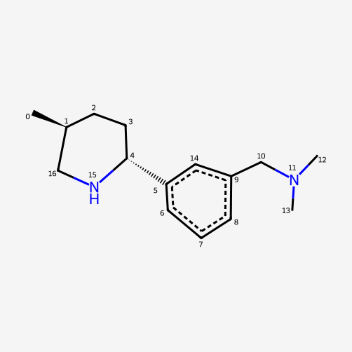 C[C@H]1CC[C@H](c2cccc(CN(C)C)c2)NC1